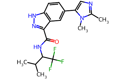 Cc1ncc(-c2ccc3[nH]nc(C(=O)NC(C(C)C)C(F)(F)F)c3c2)n1C